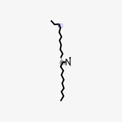 CC/C=C\CCCCCCC[C@@H](CCCCCCCCC)N(C)C